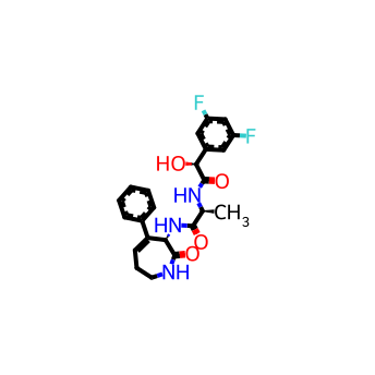 C[C@H](NC(=O)[C@@H](O)c1cc(F)cc(F)c1)C(=O)N[C@@H]1C(=O)NCCC=C1c1ccccc1